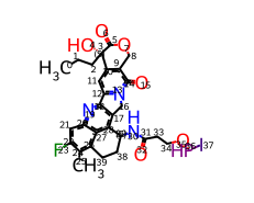 CCC[C@@]1(O)C(=O)OCc2c1cc1n(c2=O)Cc2c-1nc1cc(F)c(C)c3c1c2[C@@H](NC(=O)CCOPI)CC3